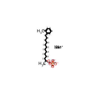 Cc1ccccc1CCCCCCCCCCCC(C)OOP(=O)([O-])[O-].[Na+].[Na+]